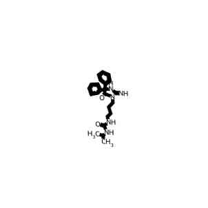 CC(C)NC(=O)NCCCCN1C(=N)NC(c2ccccc2)(c2ccccc2)C1=O